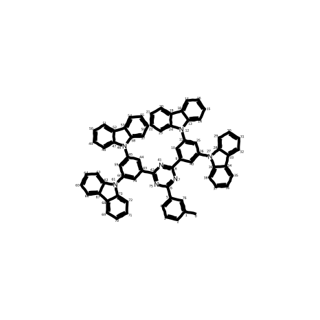 Cc1cccc(-c2nc(-c3cc(-n4c5ccccc5c5ccccc54)cc(-n4c5ccccc5c5ccccc54)c3)nc(-c3cc(-n4c5ccccc5c5ccccc54)cc(-n4c5ccccc5c5ccccc54)c3)n2)c1